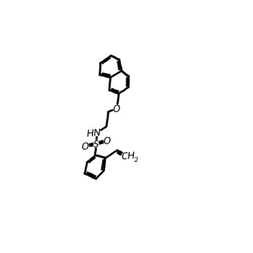 C=Cc1ccccc1S(=O)(=O)NCCOc1ccc2ccccc2c1